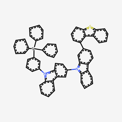 c1ccc([Si](c2ccccc2)(c2ccccc2)c2cccc(-n3c4ccccc4c4cc(-n5c6ccccc6c6ccc(-c7cccc8sc9ccccc9c78)cc65)ccc43)c2)cc1